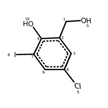 OCc1cc(Cl)cc(I)c1O